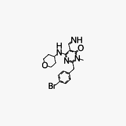 Cn1c(Cc2ccc(Br)cc2)nc(NC2CCOCC2)c(C=N)c1=O